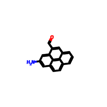 Nc1cc2ccc3cccc4cc(C=O)c(c1)c2c34